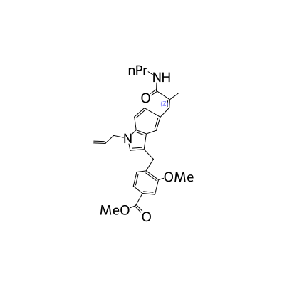 C=CCn1cc(Cc2ccc(C(=O)OC)cc2OC)c2cc(/C=C(/C)C(=O)NCCC)ccc21